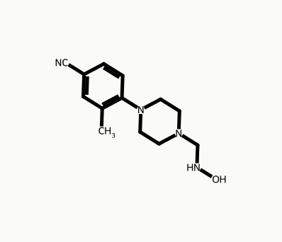 Cc1cc(C#N)ccc1N1CCN(CNO)CC1